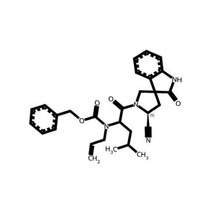 C=CCN(C(=O)OCc1ccccc1)C(CC(C)C)C(=O)N1CC2(C[C@H]1C#N)C(=O)Nc1ccccc12